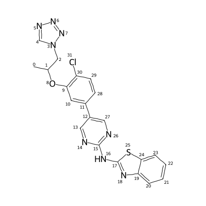 CC(Cn1cnnn1)Oc1cc(-c2cnc(Nc3nc4ccccc4s3)nc2)ccc1Cl